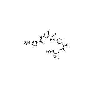 CN(CCC(N)=NO)C(=O)n1ccc(NC(=O)c2cc(N(C)C(=O)n3ccc([N+](=O)[O-])c3)cn2C)c1